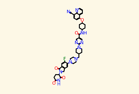 N#Cc1ccc(OC2CCC(NC(=O)c3cnc(N4CCC(CN5CCN(c6cc7c(cc6F)C(=O)N(C6CCC(=O)NC6=O)C7)CC5)CC4)nc3)CC2)c2cccnc12